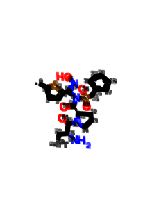 [CH2]c1ccc(C(=NO)N(C(=O)[C@@H]2CCCN2C(=O)[C@H](N)CC(C)C)S(=O)(=O)Cc2ccccc2)s1